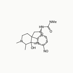 CCCC1(O)C(C)N(C)CCC1(CC(=O)NC(=O)NC)c1cc(N=O)ccc1C